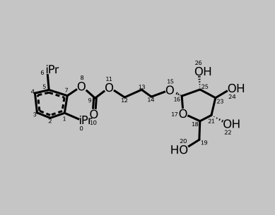 CC(C)c1cccc(C(C)C)c1OC(=O)OCCCO[C@H]1OC(CO)[C@@H](O)C(O)[C@H]1O